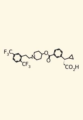 O=C(O)C[C@H](c1cccc(C(=O)OC2CCN(CCc3cc(C(F)(F)F)ccc3C(F)(F)F)CC2)c1)C1CC1